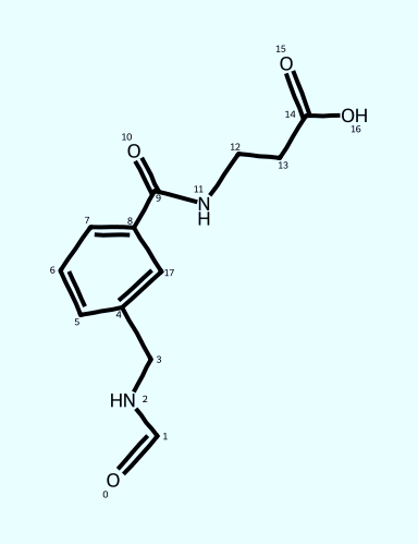 O=CNCc1cccc(C(=O)NCCC(=O)O)c1